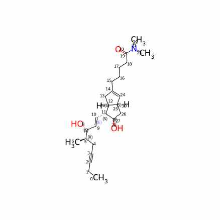 CCC#CC[C@@H](C)[C@H](O)/C=C/[C@@H]1[C@H]2CC(CCCCC(=O)N(C)C)=C[C@H]2C[C@H]1O